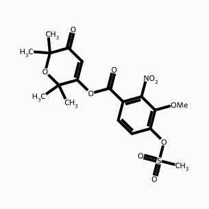 COc1c(OS(C)(=O)=O)ccc(C(=O)OC2=CC(=O)C(C)(C)OC2(C)C)c1[N+](=O)[O-]